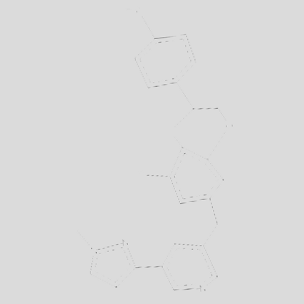 Cn1ccc(-c2cncc(Cc3cc(F)c4c(c3)OCC(c3ccc(C(F)(F)F)cc3)O4)c2)n1